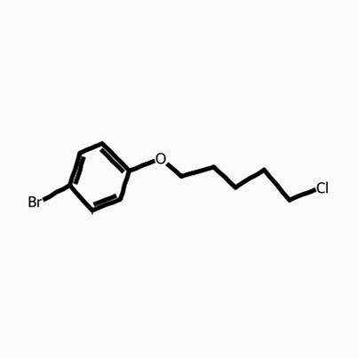 ClCCCCCOc1c[c]c(Br)cc1